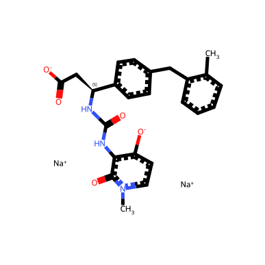 Cc1ccccc1Cc1ccc([C@H](CC(=O)[O-])NC(=O)Nc2c([O-])ccn(C)c2=O)cc1.[Na+].[Na+]